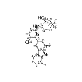 CN1CCCn2c1nc1c(F)cc(-c3nc(N[C@H]4CCC(F)(F)C[C@@H]4O)ncc3Cl)cc12